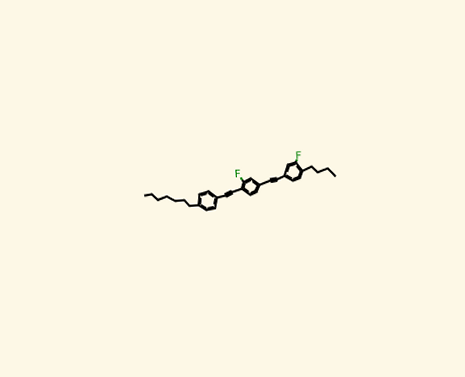 CCCCCCCc1ccc(C#Cc2ccc(C#Cc3ccc(CCCC)c(F)c3)cc2F)cc1